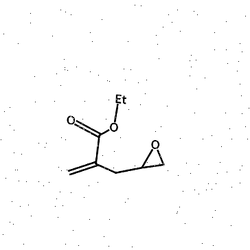 C=C(CC1CO1)C(=O)OCC